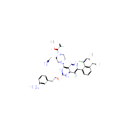 C=C(F)C(=O)N1CCN(c2nc(OCCc3cccc(N)c3)nc3c(F)c(-c4cccc(CC)c4/C(Cl)=C\C)ncc23)C[C@@H]1CC#N